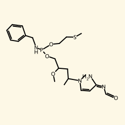 COC(COP(NCc1ccccc1)OCCSC)CC(C)N(C)/C=C\C(N)=N/C=O